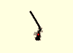 CCC=CCC=CCC=CCC=CCC=CCC=CCCC(=O)N(C)CCNC(=O)C[C@H](O)C[C@@H](O)CC[C@@H]1C2C(=C[C@H](C)CC2OC(=O)C(C)(C)CC)C=C[C@@H]1C